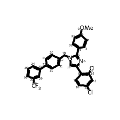 COc1ccc(-c2nc(-c3ccc(Cl)cc3Cl)cn2Cc2ccc(-c3cccc(C(F)(F)F)c3)cc2)cc1